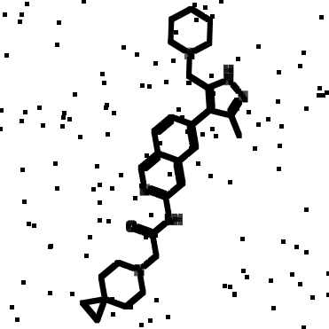 Cc1n[nH]c(CN2CCCCC2)c1-c1ccc2cnc(NC(=O)CN3CCC4(CC3)CC4)cc2c1